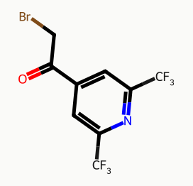 O=C(CBr)c1cc(C(F)(F)F)nc(C(F)(F)F)c1